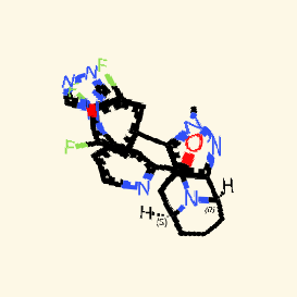 Cn1nc2c(c1-c1cc(F)c(F)c(F)c1)C[C@@H]1CCC[C@H]2N1C(=O)c1cc(-n2cnnc2)ccn1